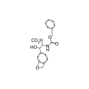 O=C(NC(C(=O)O)C(O)c1ccc2c(c1)OC2)OCc1ccccc1